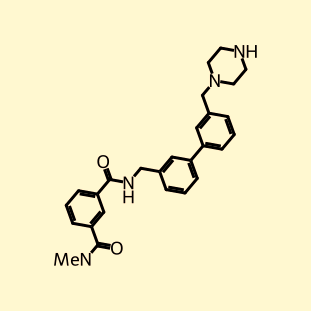 CNC(=O)c1cccc(C(=O)NCc2cccc(-c3cccc(CN4CCNCC4)c3)c2)c1